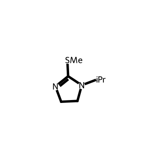 CSC1=NCCN1C(C)C